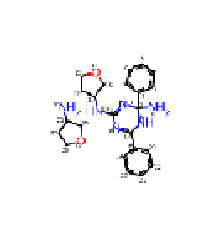 NC1(c2ccccc2)N=C(NC2CCOC2)N=C(c2ccccc2)N1.NC1CCOC1